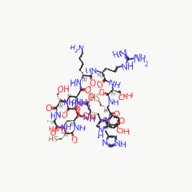 CC[C@H](C)[C@H](NC(=O)[C@H](Cc1c[nH]c2ccccc12)NC(=O)[C@H](CC(=O)O)NC(=O)[C@H](CS)NC(=O)[C@H](C)NC(=O)[C@H](CO)NC(=O)[C@@H](N)CO)C(=O)N[C@@H](CCCCN)C(=O)N[C@@H](CCCNC(=N)N)C(=O)N[C@@H](CO)C(=O)N[C@@H](CS)C(=O)N[C@@H](Cc1c[nH]cn1)C(=O)O